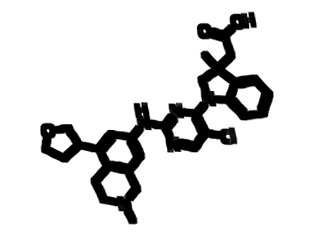 CN1CCc2c(cc(Nc3ncc(Cl)c(N4CC(C)(CC(=O)O)c5ccccc54)n3)cc2C2CCOC2)C1